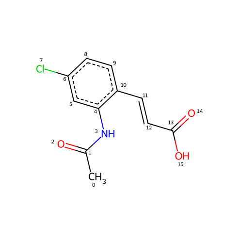 CC(=O)Nc1cc(Cl)ccc1C=CC(=O)O